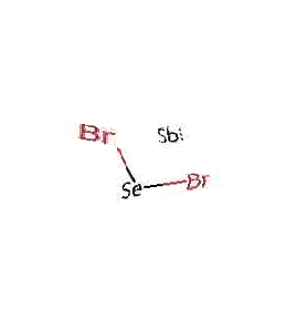 Br[Se]Br.[Sb]